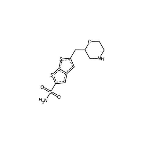 NS(=O)(=O)c1cc2cc(CC3CNCCO3)sc2s1